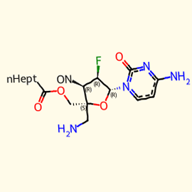 CCCCCCCC(=O)OC[C@@]1(CN)O[C@@H](n2ccc(N)nc2=O)[C@H](F)[C@@H]1N=O